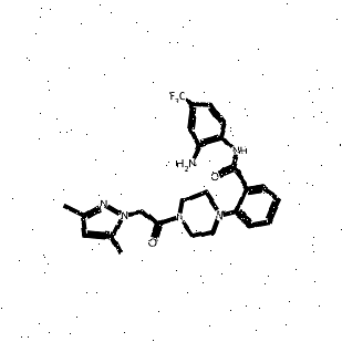 Cc1cc(C)n(CC(=O)N2CCN(c3ccccc3C(=O)Nc3ccc(C(F)(F)F)cc3N)CC2)n1